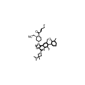 Cc1cccc(-c2c(C)cc3c(nc(N4CC(C)(N(C)C)C4)c4nnn([C@H]5CCN(C(=O)/C=C/CF)[C@H](CC#N)C5)c43)c2F)c1Cl